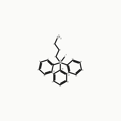 FC(F)(F)CCCP(I)(c1ccccc1)(c1ccccc1)c1ccccc1